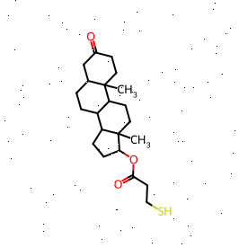 CC12CCC(=O)CC1CCC1C2CCC2(C)C(OC(=O)CCS)CCC12